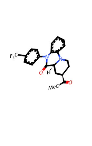 COC(=O)[C@@H]1CCN2c3ccccc3N(c3ccc(C(F)(F)F)cc3)C(=O)[C@@H]2C1